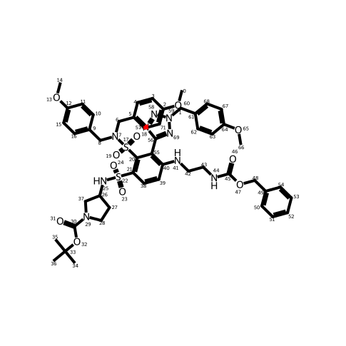 COc1ccc(CN(Cc2ccc(OC)cc2)S(=O)(=O)c2c(S(=O)(=O)NC3CCN(C(=O)OC(C)(C)C)C3)ccc(NCCNC(=O)OCc3ccccc3)c2-c2nnn(Cc3ccc(OC)cc3)n2)cc1